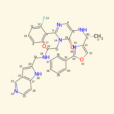 C[C@@H](Nc1cnc(-c2ccccc2F)n(CC(=O)NCc2cc3cnccc3[nH]2)c1=O)c1coc(-c2ccccc2)n1